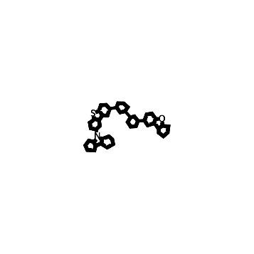 c1cc(-c2cccc(-c3ccc4sc5ccc(-n6c7ccccc7c7ccccc76)cc5c4c3)c2)cc(-c2ccc3oc4ccccc4c3c2)c1